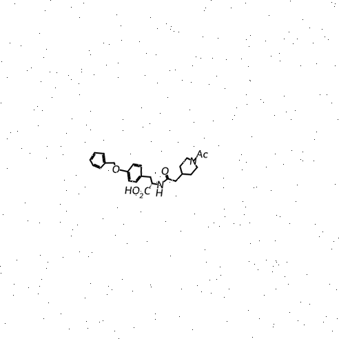 CC(=O)N1CCC(CC(=O)N[C@@H](Cc2ccc(OCc3ccccc3)cc2)C(=O)O)CC1